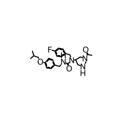 CC(=O)N1CNCC(N(Cc2ccc(F)cc2)C(=O)NCc2ccc(OCC(C)C)cc2)C1